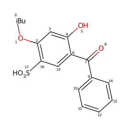 CCC(C)Oc1cc(O)c(C(=O)c2ccccc2)cc1S(=O)(=O)O